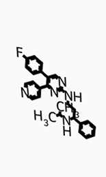 CC(C)NC(CCNc1ncc(-c2ccc(F)cc2)c(-c2ccncc2)n1)c1ccccc1